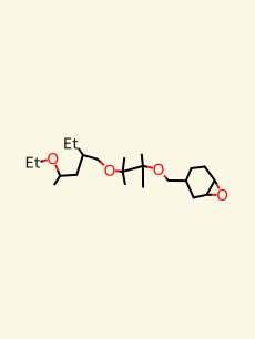 CCOC(C)CC(CC)COC(C)(C)C(C)(C)OCC1CCC2OC2C1